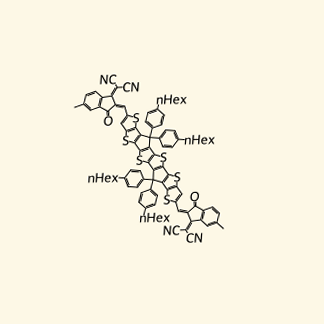 CCCCCCc1ccc(C2(c3ccc(CCCCCC)cc3)c3c(sc4cc(/C=C5\C(=O)c6cc(C)ccc6C5=C(C#N)C#N)sc34)-c3sc4c5c(sc4c32)-c2sc3cc(/C=C4\C(=O)c6ccc(C)cc6C4=C(C#N)C#N)sc3c2C5(c2ccc(CCCCCC)cc2)c2ccc(CCCCCC)cc2)cc1